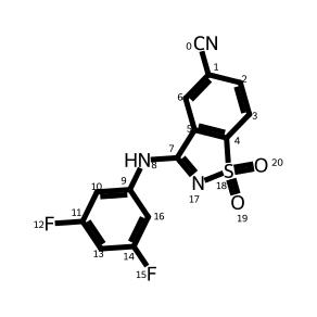 N#Cc1ccc2c(c1)C(Nc1cc(F)cc(F)c1)=NS2(=O)=O